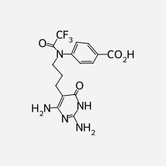 Nc1nc(N)c(CCCN(C(=O)C(F)(F)F)c2ccc(C(=O)O)cc2)c(=O)[nH]1